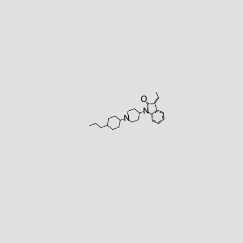 CC=C1C(=O)N(C2CCN(C3CCC(CCC)CC3)CC2)c2ccccc21